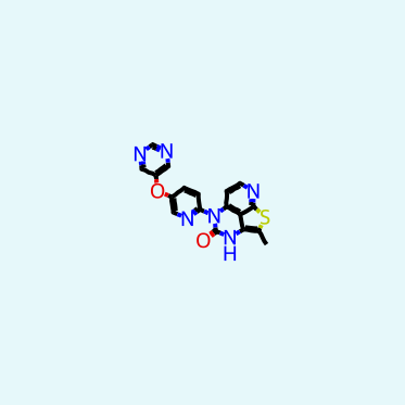 Cc1sc2nccc3c2c1NC(=O)N3c1ccc(Oc2cncnc2)cn1